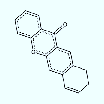 O=c1c2ccccc2oc2cc3c(cc12)CCC=C3